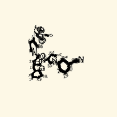 CS(=O)(=O)NC1CCN(C(=O)CC(CC2CCCCC2)C(=O)NC2CCN(C3CCCC(C#N)C3)C2)C1